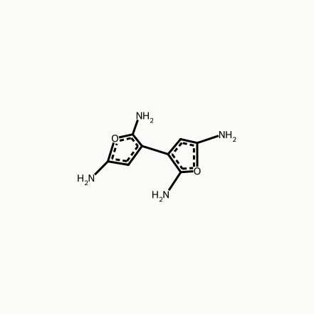 Nc1cc(-c2cc(N)oc2N)c(N)o1